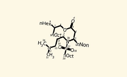 CCCCCCCCCC(CC(=O)OCC(CCCCCC)CCCCCCCC)N(CCCN(C)C)S(=O)(=O)CCCCCCCC